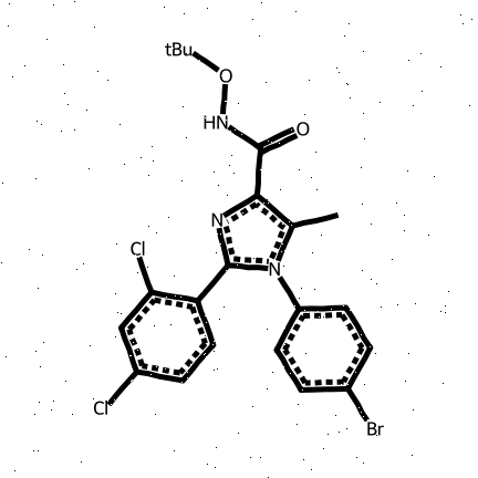 Cc1c(C(=O)NOC(C)(C)C)nc(-c2ccc(Cl)cc2Cl)n1-c1ccc(Br)cc1